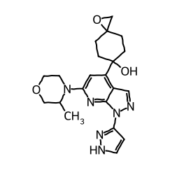 CC1COCCN1c1cc(C2(O)CCC3(CC2)CO3)c2cnn(-c3cc[nH]n3)c2n1